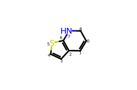 C1=Cc2ccsc2NC1